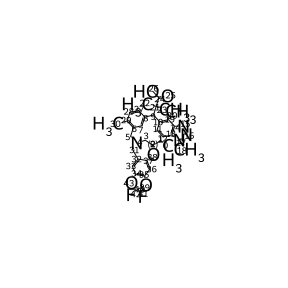 CC[C@@H]1CN(Cc2cc(C(c3ccc4c(nnn4C)c3C)C(C)(C)C(=O)O)ccc2C)Cc2cc3c(cc2O1)OC(F)(F)O3